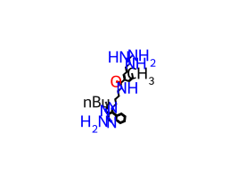 C\C=C/C(=C\C=C\NC(=N)N)C(=O)NCCCCn1c(CCCC)nc2c(N)nc3ccccc3c21